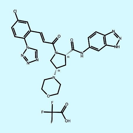 O=C(Nc1ccc2nn[nH]c2c1)[C@@H]1C[C@H](N2CCOCC2)CN1C(=O)C=Cc1cc(Cl)ccc1-n1cnnn1.O=C(O)C(F)(F)F